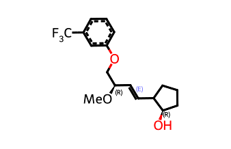 CO[C@H](/C=C/C1CCC[C@H]1O)COc1cccc(C(F)(F)F)c1